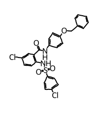 O=C(Nc1ccc(OCc2ccccc2)cc1)c1cc(Cl)ccc1NS(=O)(=O)c1ccc(Cl)cc1